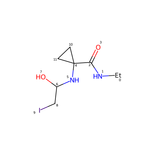 CCNC(=O)C1(NC(O)CI)CC1